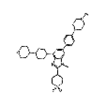 CC(C)N1CCN(c2ccc(-c3cc(C4CCN(C5CCOCC5)CC4)c4nc(C5CCS(=O)(=O)CC5)n(C)c4c3)cc2)CC1